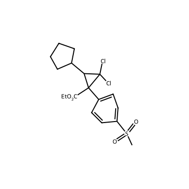 CCOC(=O)C1(c2ccc(S(C)(=O)=O)cc2)C(C2CCCC2)C1(Cl)Cl